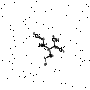 CCSC(NC=O)C(=O)O